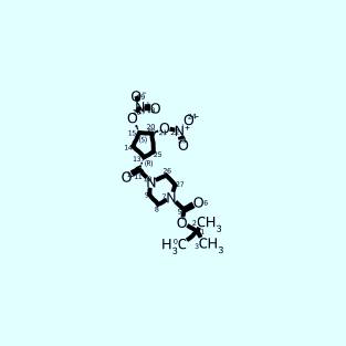 CC(C)(C)OC(=O)N1CCN(C(=O)[C@@H]2C[C@H](O[N+](=O)[O-])[C@H](O[N+](=O)[O-])C2)CC1